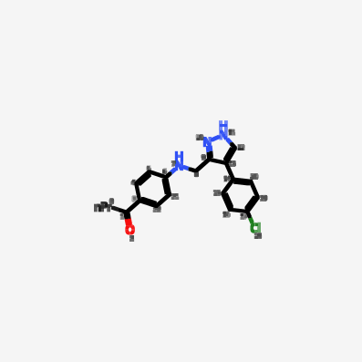 CCCC(=O)c1ccc(NCc2n[nH]cc2-c2ccc(Cl)cc2)cc1